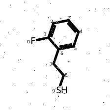 Fc1ccccc1C[CH]S